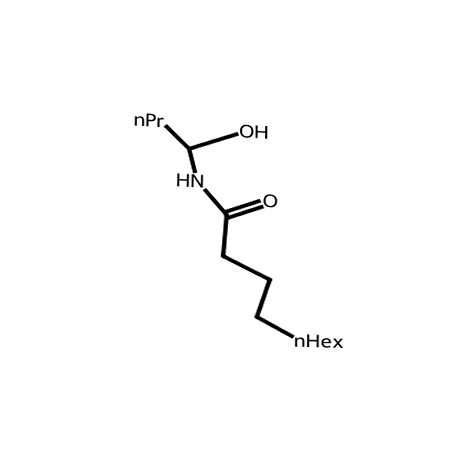 CCCCCCCCCC(=O)NC(O)CCC